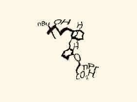 CCCCC(C)(C)C(O)/C=C/C1[C@H]2CC[C@H](O2)[C@H]1Cc1cccc(O[C@H](CCC)CC(=O)O)c1